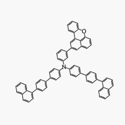 c1cc(-c2cc3c4c(cccc4c2)Oc2ccccc2-3)cc(N(c2ccc(-c3ccc(-c4cccc5ccccc45)cc3)cc2)c2ccc(-c3ccc(-c4cccc5ccccc45)cc3)cc2)c1